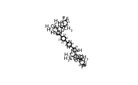 CC(C)(C)[C@H](NC(=O)[C@@]1(C)CCC(F)(F)CO1)c1nc(-c2ccc(-c3cnc(-c4c[nH]c([C@@H](NC(=O)[C@@]5(C)CCC(F)(F)CO5)C(C)(C)C)n4)cn3)cc2)c[nH]1